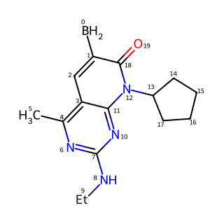 Bc1cc2c(C)nc(NCC)nc2n(C2CCCC2)c1=O